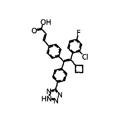 O=C(O)C=Cc1ccc(C(=C(c2ccc(F)cc2Cl)C2CCC2)c2ccc(-c3nn[nH]n3)cc2)cc1